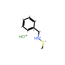 CSNCc1ccccc1.Cl